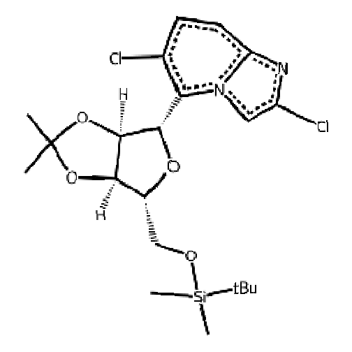 CC1(C)O[C@@H]2[C@H](O1)[C@@H](CO[Si](C)(C)C(C)(C)C)O[C@H]2c1c(Cl)ccc2nc(Cl)cn12